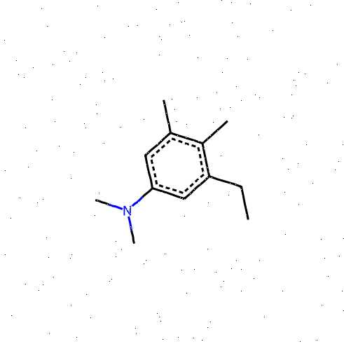 CCc1cc(N(C)C)cc(C)c1C